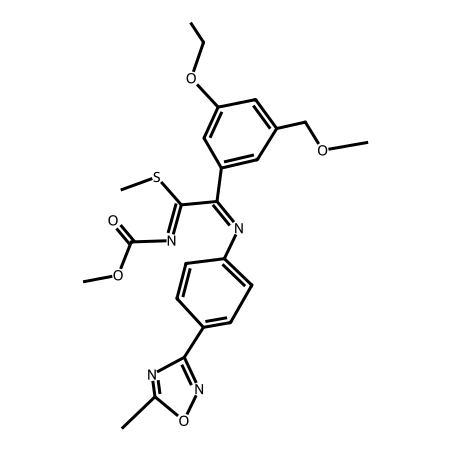 CCOc1cc(COC)cc(C(=Nc2ccc(-c3noc(C)n3)cc2)C(=NC(=O)OC)SC)c1